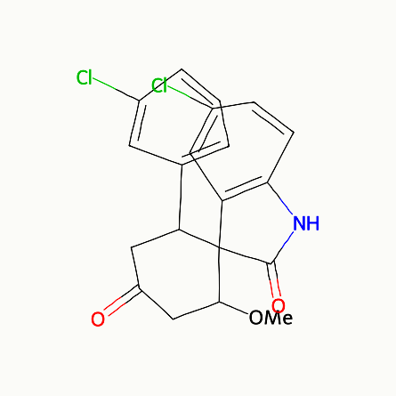 COC1CC(=O)CC(c2cccc(Cl)c2)C12C(=O)Nc1ccc(Cl)cc12